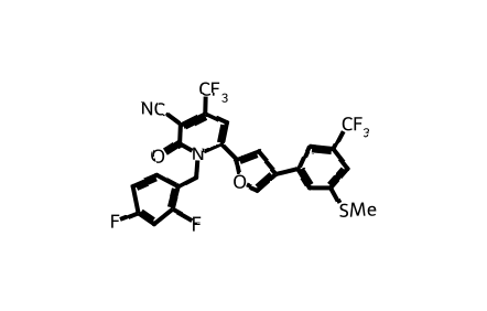 CSc1cc(-c2coc(-c3cc(C(F)(F)F)c(C#N)c(=O)n3Cc3ccc(F)cc3F)c2)cc(C(F)(F)F)c1